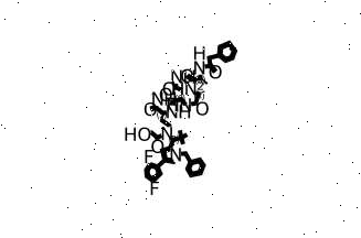 CNC(=O)[C@H](CCN(C(=O)CO)[C@@H](c1cc(-c2cc(F)ccc2F)cn1Cc1ccccc1)C(C)(C)C)NC(=O)[C@H](CC(N)=O)NC(=O)[C@@H](C)NC(=O)[C@H](C)NC(=O)Cc1ccccc1